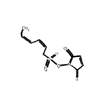 C/C=C\C=C/CS(=O)(=O)ON1C(=O)C=CC1=O